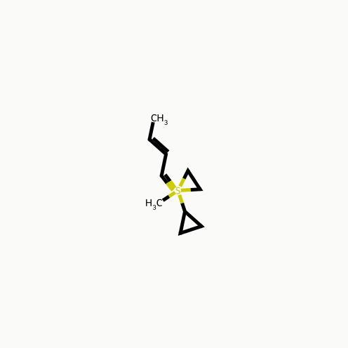 CC=CC=S1(C)(C2CC2)CC1